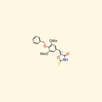 COc1cc(/C=C2\OC(=S)NC2=O)cc(OC)c1OCc1ccccc1